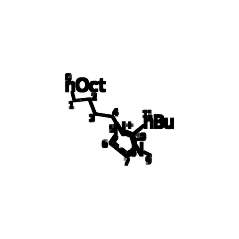 CCCCCCCCCCCC[n+]1ccn(C)c1CCCC